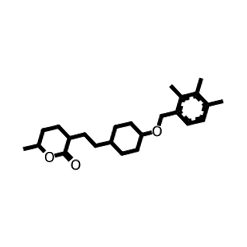 Cc1ccc(COC2CCC(CCC3CCC(C)OC3=O)CC2)c(C)c1C